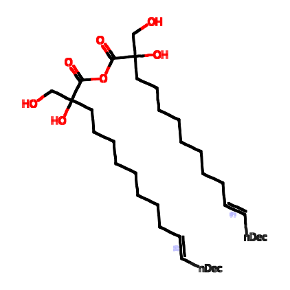 CCCCCCCCCC/C=C/CCCCCCCCC(O)(CO)C(=O)OC(=O)C(O)(CO)CCCCCCCC/C=C/CCCCCCCCCC